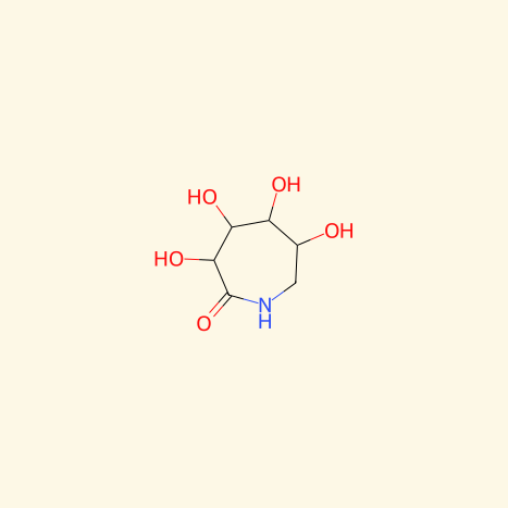 O=C1NCC(O)C(O)C(O)C1O